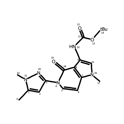 Cc1cc(-n2ccc3c(c(NC(=O)OC(C)(C)C)cn3C)c2=O)nn1C